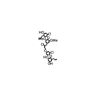 C=CCc1cc(Oc2c(OC)cc(C/C(Cl)=C\COc3ccc(Oc4c(O)cc(O)cc4CC=C)c(Cl)c3)cc2OC)c(Cl)cc1O